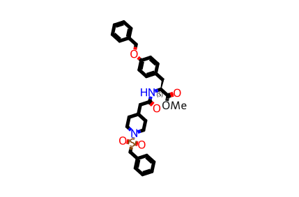 COC(=O)[C@H](Cc1ccc(OCc2ccccc2)cc1)NC(=O)CC1CCN(S(=O)(=O)Cc2ccccc2)CC1